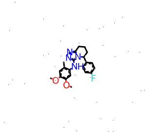 COc1cc(C)c(Nc2nnc3n2C(c2ccc(F)cc2)CCC3)cc1OC